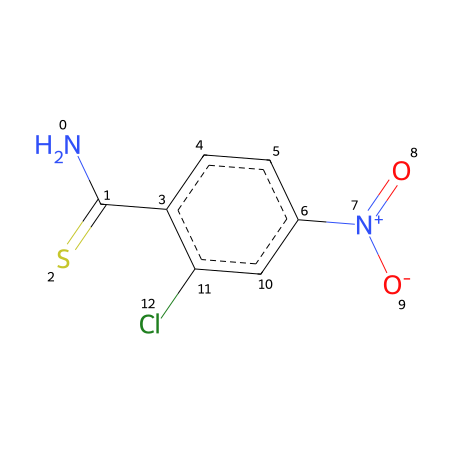 NC(=S)c1ccc([N+](=O)[O-])cc1Cl